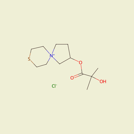 CC(C)(O)C(=O)OC1CC[N+]2(CCSCC2)C1.[Cl-]